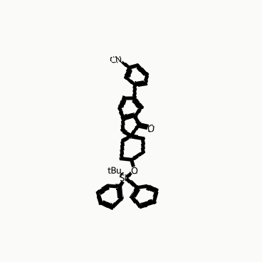 [C-]#[N+]c1cccc(-c2ccc3c(c2)C(=O)C2(CCC(O[Si](c4ccccc4)(c4ccccc4)C(C)(C)C)CC2)C3)c1